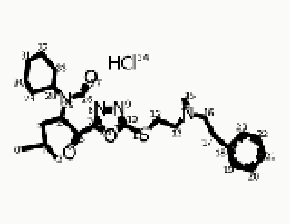 CC(C)CC(C(=O)c1nnc(SCCN(C)CCc2ccccc2)o1)N(C=O)C1CCCCC1.Cl